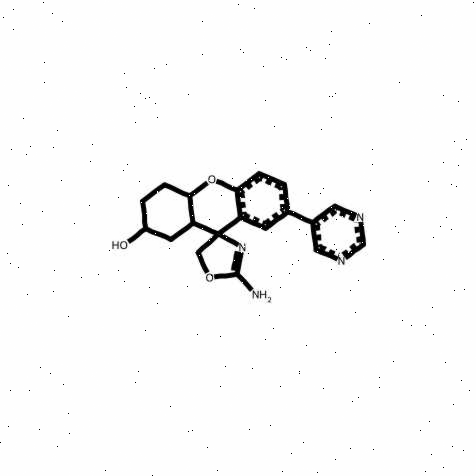 NC1=NC2(CO1)c1cc(-c3cncnc3)ccc1OC1CCC(O)CC12